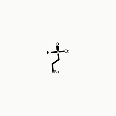 [CH2]CCCCCP(=O)(CC)CC